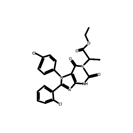 CCOC(=O)C(C)n1c(=O)[nH]c2nc(-c3ccccc3Cl)n(-c3ccc(Cl)cc3)c2c1=O